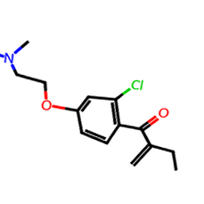 C=C(CC)C(=O)c1ccc(OCCN(C)C)cc1Cl